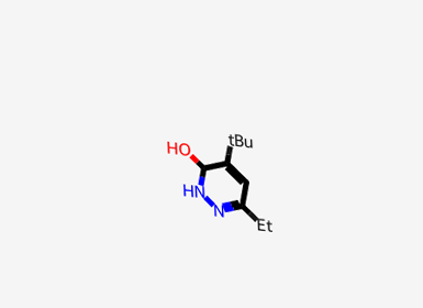 CCC1=NNC(O)C(C(C)(C)C)=C1